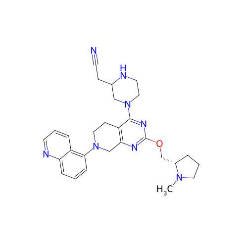 CN1CCC[C@H]1COc1nc2c(c(N3CCNC(CC#N)C3)n1)CCN(c1cccc3ncccc13)C2